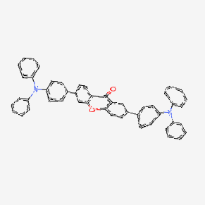 O=c1c2ccc(-c3ccc(N(c4ccccc4)c4ccccc4)cc3)cc2oc2ccc(-c3ccc(N(c4ccccc4)c4ccccc4)cc3)cc12